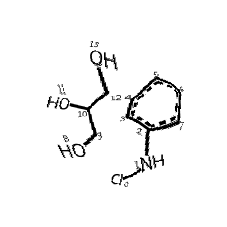 ClNc1ccccc1.OCC(O)CO